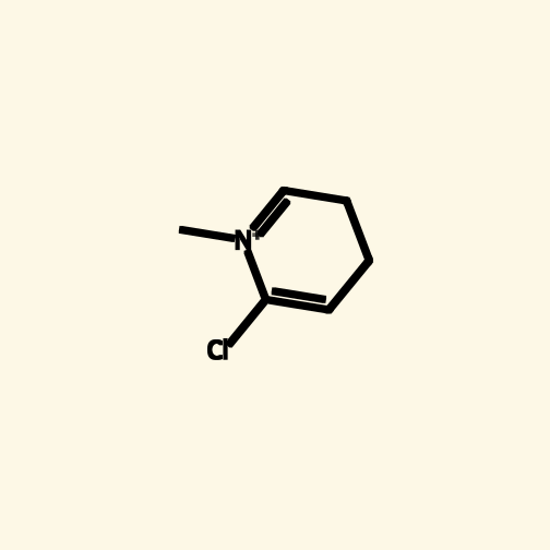 C[N+]1=CCCC=C1Cl